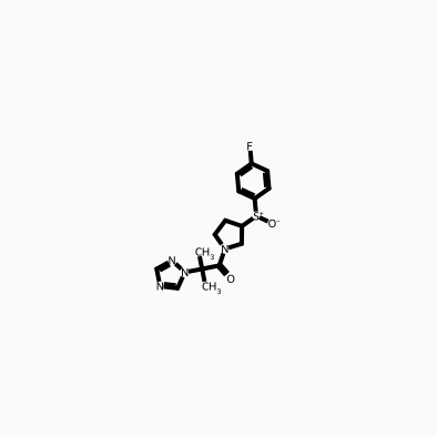 CC(C)(C(=O)N1CCC([S+]([O-])c2ccc(F)cc2)C1)n1cncn1